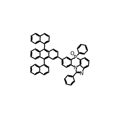 O=P1(c2ccccc2)c2cc(-c3ccc4c(-c5cccc6ccccc56)c5ccccc5c(-c5cccc6ccccc56)c4c3)ccc2-n2c(-c3ccccc3)nc3cccc1c32